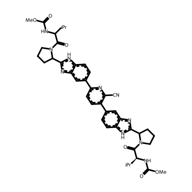 COC(=O)NC(C(=O)N1CCCC1c1nc2cc(-c3ccc(-c4ccc5[nH]c(C6CCCN6C(=O)[C@@H](NC(=O)OC)C(C)C)nc5c4)c(C#N)n3)ccc2[nH]1)C(C)C